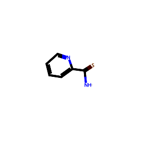 [NH]C(=S)c1ccccn1